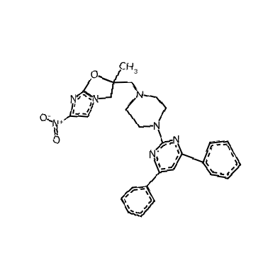 CC1(CN2CCN(c3nc(-c4ccccc4)cc(-c4ccccc4)n3)CC2)Cn2cc([N+](=O)[O-])nc2O1